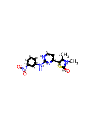 Cc1c(-c2ccnc(Nc3cccc([N+](=O)[O-])c3)n2)sc(=O)n1C